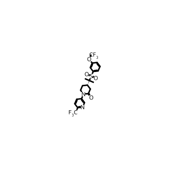 CC(C)([C@H]1CCN(c2ccc(C(F)(F)F)nc2)C(=O)C1)S(=O)(=O)c1cccc(OC(F)(F)F)c1